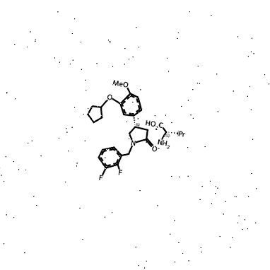 CC(C)[C@H](N)C(=O)O.COc1ccc([C@@H]2CC(=O)N(Cc3cccc(F)c3F)C2)cc1OC1CCCC1